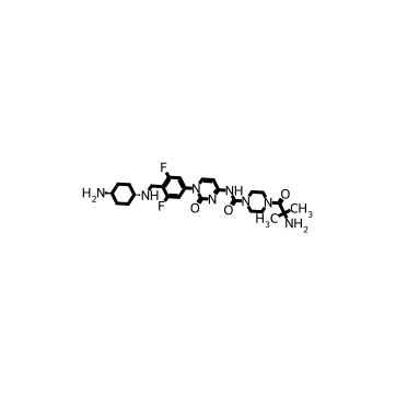 CC(C)(N)C(=O)N1CCN(C(=O)Nc2ccn(-c3cc(F)c(CN[C@H]4CC[C@H](N)CC4)c(F)c3)c(=O)n2)CC1